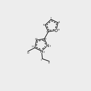 CCn1nc(-c2ccco2)cc1C